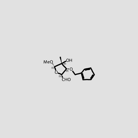 CO[C@H]1O[C@H](C=O)[C@@H](OCc2ccccc2)[C@@]1(C)O